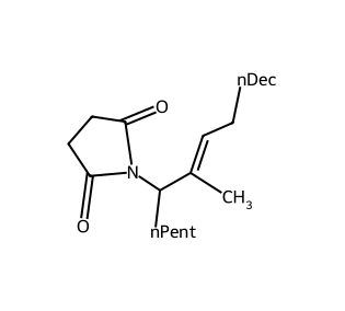 CCCCCCCCCCCC=C(C)C(CCCCC)N1C(=O)CCC1=O